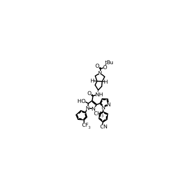 CN1C(c2ccnn2-c2ccc(C#N)cc2)=C(C(=O)N[C@@H]2C[C@@H]3CN(C(=O)OC(C)(C)C)C[C@@H]3C2)C(O)N1c1cccc(C(F)(F)F)c1